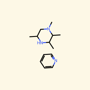 CC1CN(C)C(C)C(C)N1.c1ccncc1